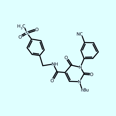 CCCCn1cc(C(=O)NCc2ccc(S(C)(=O)=O)cc2)c(=O)n(-c2cccc(C#N)c2)c1=O